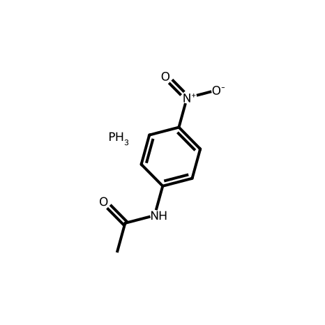 CC(=O)Nc1ccc([N+](=O)[O-])cc1.P